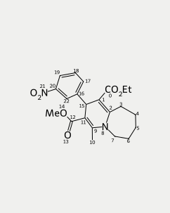 CCOC(=O)C1=C2CCCCCN2C(C)=C(C(=O)OC)C1c1cccc([N+](=O)[O-])c1